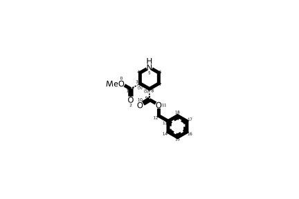 COC(=O)[C@@H]1CNCC[C@@H]1C(=O)OCc1ccccc1